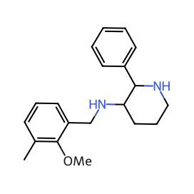 COc1c(C)cccc1CNC1CCCNC1c1ccccc1